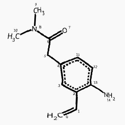 C=Cc1cc(CC(=O)N(C)C)ccc1N